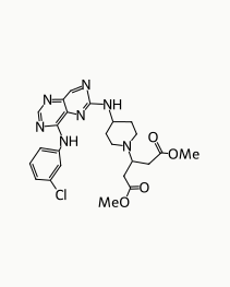 COC(=O)CC(CC(=O)OC)N1CCC(Nc2ncc3ncnc(Nc4cccc(Cl)c4)c3n2)CC1